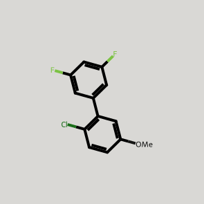 COc1ccc(Cl)c(-c2cc(F)cc(F)c2)c1